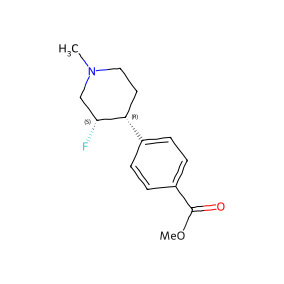 COC(=O)c1ccc([C@H]2CCN(C)C[C@H]2F)cc1